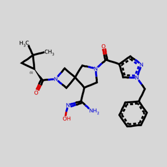 CC1(C)C[C@@H]1C(=O)N1CC2(CN(C(=O)c3cnn(Cc4ccccc4)c3)CC2C(N)=NO)C1